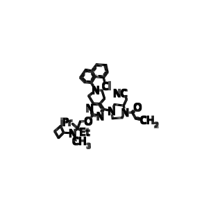 C=CC(=O)N1CCN(c2nc(OCC(CC)(C(C)C)N(C)C3CCC3)nc3c2CCN(c2cccc4cccc(Cl)c24)C3)CC1CC#N